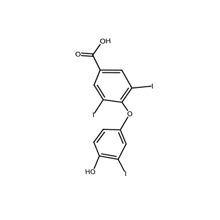 O=C(O)c1cc(I)c(Oc2ccc(O)c(I)c2)c(I)c1